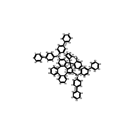 c1ccc(-c2ccc(N(c3ccc(-c4ccccc4)cc3)c3cc4c5c(c3)C3(c6ccccc6Oc6ccccc63)c3cc(N(c6ccc(-c7ccccc7)cc6)c6ccc(-c7ccccc7)cc6)cc(c3-5)-c3ccccc3-c3ccccc3-4)cc2)cc1